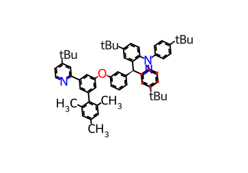 Cc1cc(C)c(-c2cc(Oc3cccc([C@H](c4ccccn4)c4cc(C(C)(C)C)ccc4N(c4ccc(C(C)(C)C)cc4)c4ccc(C(C)(C)C)cc4)c3)cc(-c3cc(C(C)(C)C)ccn3)c2)c(C)c1